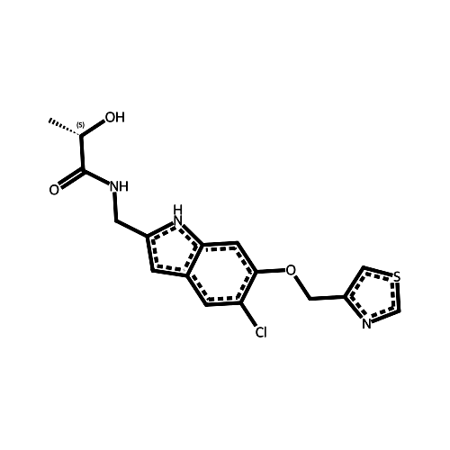 C[C@H](O)C(=O)NCc1cc2cc(Cl)c(OCc3cscn3)cc2[nH]1